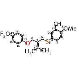 COc1ccc(SCC(COc2ccc(C(F)(F)F)cc2)=C(C)C)cc1C